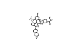 C=C(F)C(=O)N1CCn2nc(-c3nc(-c4ccc5c(c4)CCN(C)C5)c4ccsc4c3-c3c(F)cc(F)cc3OC(C)C)nc2C1